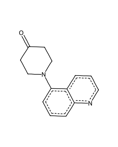 O=C1CCN(c2cccc3ncccc23)CC1